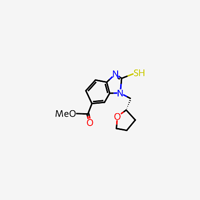 COC(=O)c1ccc2nc(S)n(C[C@@H]3CCCO3)c2c1